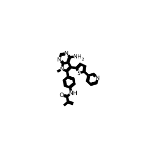 C=C(C)C(=O)Nc1ccc(-c2c(-c3ccc(-c4cccnc4)s3)c3c(N)ncnc3n2C)cc1